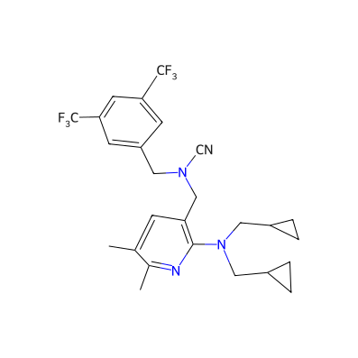 Cc1cc(CN(C#N)Cc2cc(C(F)(F)F)cc(C(F)(F)F)c2)c(N(CC2CC2)CC2CC2)nc1C